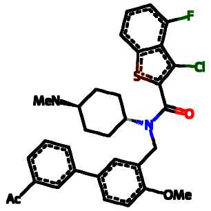 CN[C@H]1CC[C@H](N(Cc2cc(-c3cccc(C(C)=O)c3)ccc2OC)C(=O)c2sc3cccc(F)c3c2Cl)CC1